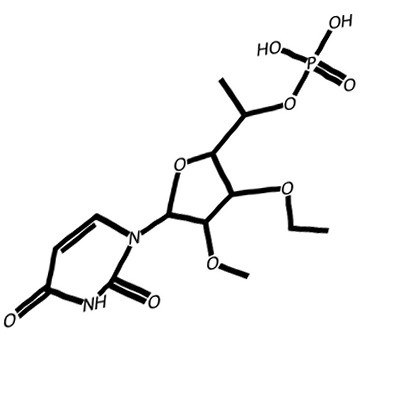 CCOC1C(C(C)OP(=O)(O)O)OC(n2ccc(=O)[nH]c2=O)C1OC